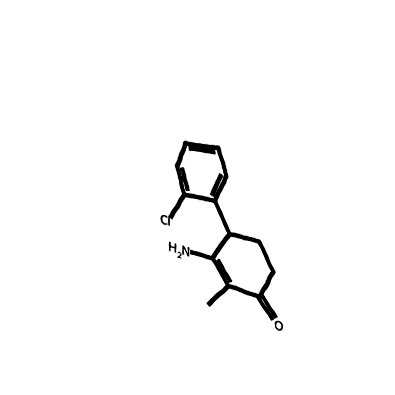 CC1=C(N)C(c2ccccc2Cl)CCC1=O